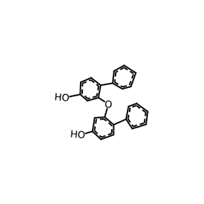 Oc1ccc(-c2ccccc2)c(Oc2cc(O)ccc2-c2ccccc2)c1